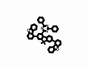 CC1(C)c2cc(-c3cccc4oc5ccccc5c34)ccc2-c2c(-c3nc(-c4ccccc4)nc(-c4ccccc4)n3)cc(-c3cccc4oc5ccccc5c34)cc21